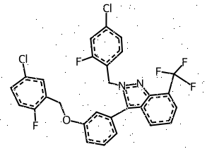 Fc1ccc(Cl)cc1COc1cccc(-c2c3cccc(C(F)(F)F)c3nn2Cc2ccc(Cl)cc2F)c1